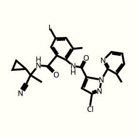 Cc1cccnc1-n1nc(Cl)cc1C(=O)Nc1c(C)cc(I)cc1C(=O)NC(C)(C#N)C1CC1